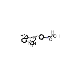 O=C(/C=C/c1ccc(CN(CCc2c[nH]c3ccccc23)Cc2nnn[nH]2)cc1)NO